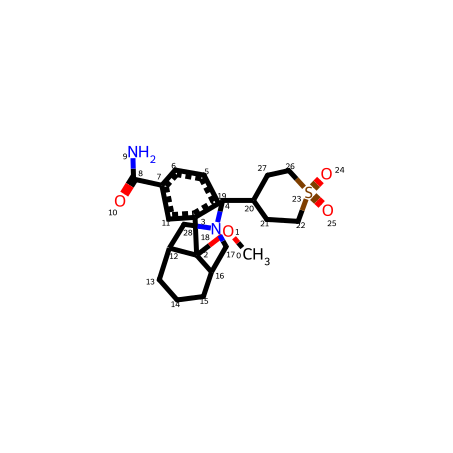 COC1(c2cccc(C(N)=O)c2)C2CCCC1CN(CC1CCS(=O)(=O)CC1)C2